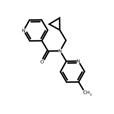 Cc1ccc(N(CC2CC2)C(=O)c2cccnc2)nc1